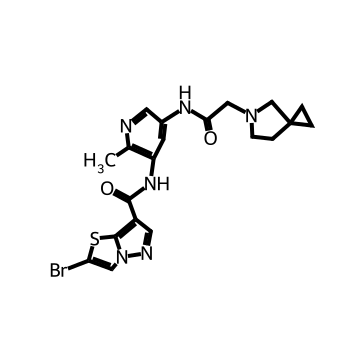 Cc1ncc(NC(=O)CN2CCC3(CC3)C2)cc1NC(=O)c1cnn2cc(Br)sc12